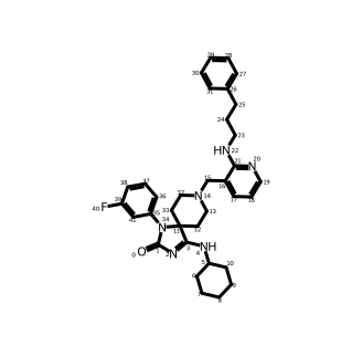 O=C1N=C(NC2CCCCC2)C2(CCN(Cc3cccnc3NCCCc3ccccc3)CC2)N1c1cccc(F)c1